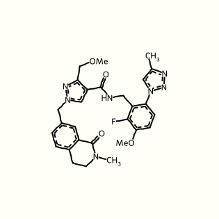 COCc1nn(Cc2ccc3c(c2)C(=O)N(C)CC3)cc1C(=O)NCc1c(-n2cc(C)nn2)ccc(OC)c1F